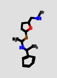 CC(C)NCC1CCC(SC(C)NC(C)c2ccccc2)O1